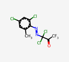 Cc1cc(Cl)cc(Cl)c1N=NC(Cl)(Cl)C(=O)C(F)(F)F